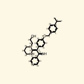 CC(C)c1ccc(COc2ccc(/C(C(=N)c3ccncc3)=C3/NCCCN3CCO)cc2)cc1